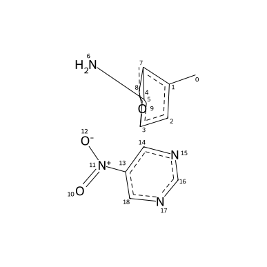 Cc1cc2cc(N)c1CO2.O=[N+]([O-])c1cncnc1